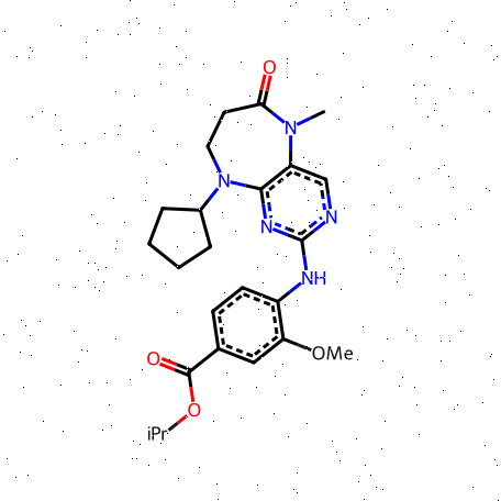 COc1cc(C(=O)OC(C)C)ccc1Nc1ncc2c(n1)N(C1CCCC1)CCC(=O)N2C